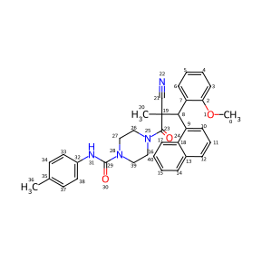 COc1ccccc1C(c1cccc2ccccc12)C(C)(C#N)C(=O)N1CCN(C(=O)Nc2ccc(C)cc2)CC1